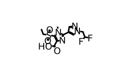 CCS(=O)(=O)c1c(C(=O)O)nc(-c2cnn(CC(F)F)c2)n1C